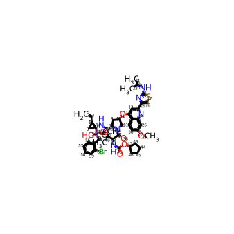 C=C[C@@H]1C[C@]1(NC(=O)[C@@H]1C[C@@H](Oc2cc(-c3csc(NC(C)C)n3)nc3cc(OC)ccc23)CN1C(=O)[C@@H](NC(=O)OC1CCCC1)C(C)(C)C)P(=O)(O)Cc1ccccc1Br